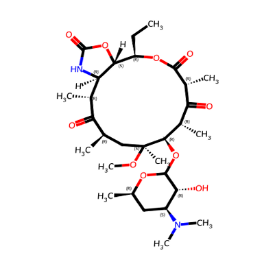 CC[C@H]1OC(=O)[C@H](C)C(=O)[C@H](C)[C@@H](OC2O[C@H](C)C[C@H](N(C)C)[C@H]2O)[C@@](C)(OC)C[C@@H](C)C(=O)[C@H](C)[C@H]2NC(=O)O[C@@H]21